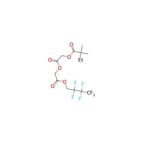 CCC(C)(C)C(=O)OCC(=O)OCC(=O)OCC(F)(F)C(F)(F)C(F)(F)F